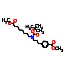 COC(=O)CCCCCCCN(CCCc1ccc(C(=O)OC)cc1)C(=O)OC(C)(C)C